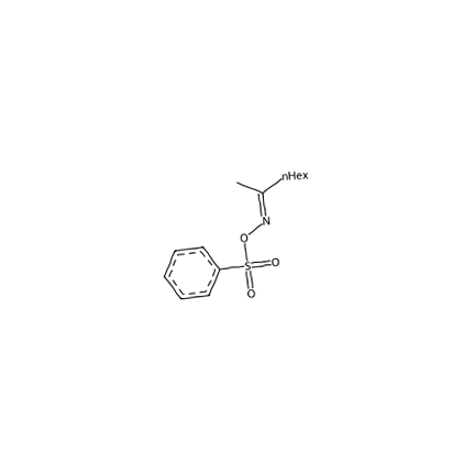 CCCCCCC(C)=NOS(=O)(=O)c1ccccc1